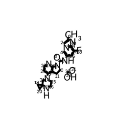 Cc1cn2cc(NC(=O)N3CCc4c(N5CCNC6(CC6)C5)ccnc43)cc(F)c2n1.O=CO